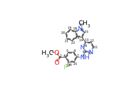 COC(=O)c1ccc(Nc2nccc(-c3cn(C)c4ccccc34)n2)cc1F